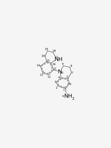 Nc1ccc2c(c1)CCCN2c1cccc2c1NCCC2